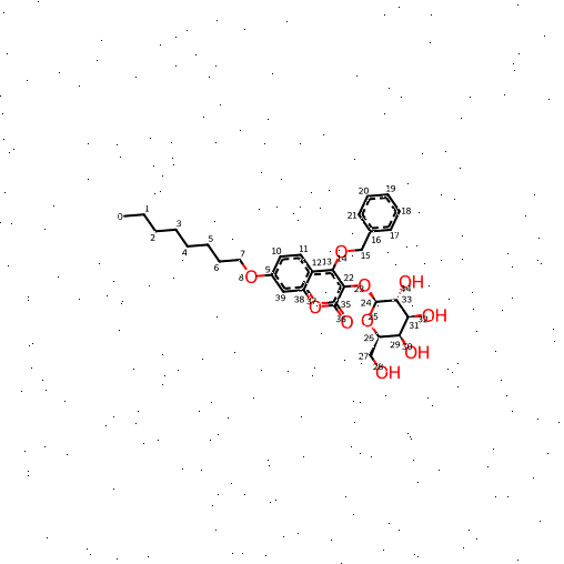 CCCCCCCCOc1ccc2c(OCc3ccccc3)c(O[C@@H]3O[C@H](CO)[C@H](O)[C@H](O)[C@H]3O)c(=O)oc2c1